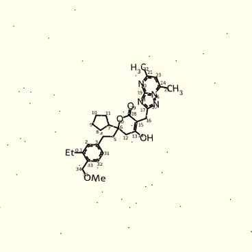 CCc1cc(CCC2(C3CCCC3)CC(O)=C(Cc3nc4nc(C)cc(C)n4n3)C(=O)O2)ccc1COC